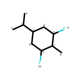 CC(C)C1CC(F)C(C)C(F)C1